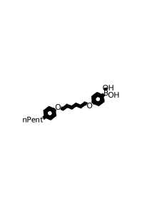 CCCCCc1ccc(OCCCCCCOc2ccc(B(O)O)cc2)cc1